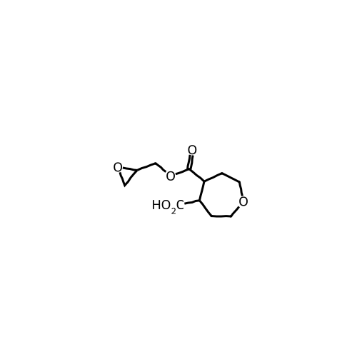 O=C(O)C1CCOCCC1C(=O)OCC1CO1